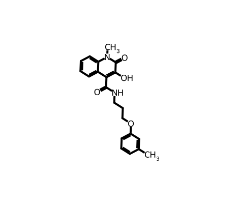 Cc1cccc(OCCCNC(=O)c2c(O)c(=O)n(C)c3ccccc23)c1